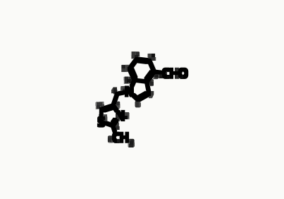 Cc1nc(Cn2ccc3c(C=O)cccc32)cs1